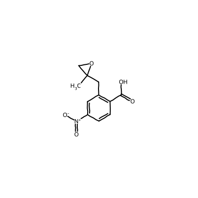 CC1(Cc2cc([N+](=O)[O-])ccc2C(=O)O)CO1